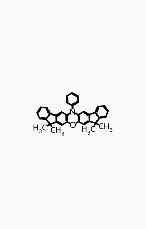 CC1(C)c2ccccc2-c2cc3c(cc21)Oc1cc2c(cc1N3c1ccccc1)-c1ccccc1C2(C)C